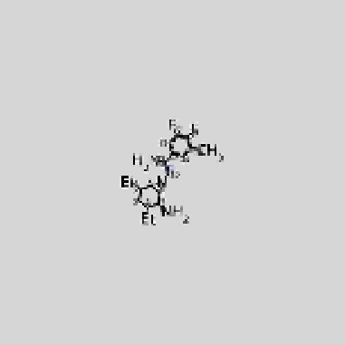 CCC1CC(CC)C2C(C1N)N2/C=C(\N)c1cc(C)c(F)c(F)c1